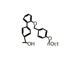 CCCCCCCCOc1ccc(COc2ccccc2-c2ccc(C(C)O)cc2)cc1